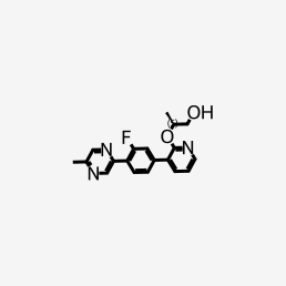 Cc1cnc(-c2ccc(-c3cccnc3O[C@@H](C)CO)cc2F)cn1